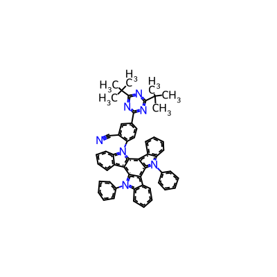 CC(C)(C)c1nc(-c2ccc(-n3c4ccccc4c4c5c(c6ccccc6n5-c5ccccc5)c5c(c6ccccc6n5-c5ccccc5)c43)c(C#N)c2)nc(C(C)(C)C)n1